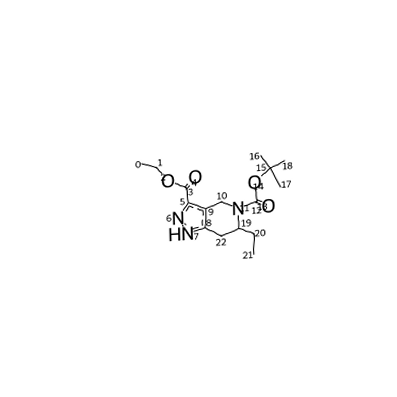 CCOC(=O)c1n[nH]c2c1CN(C(=O)OC(C)(C)C)C(CC)C2